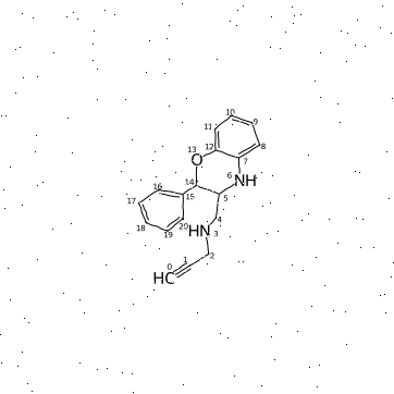 C#CCNCC1Nc2ccccc2OC1c1ccccc1